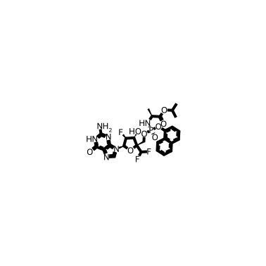 CC(C)OC(=O)[C@H](C)NP(=O)(OC[C@@]1(C(F)F)O[C@@H](n2cnc3c(=O)[nH]c(N)nc32)[C@@H](F)[C@@H]1O)Oc1cccc2ccccc12